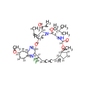 CC[C@@H]1[C@@H]2CN(C(=O)[C@H](C(C)(C)C)NC(=O)O[C@]3(C)CCC[C@H]3CCCCC(F)(F)c3nc4ccc(OC)cc4nc3O2)[C@@H]1C(C)=O